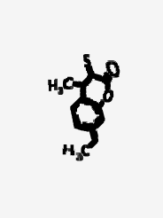 CCc1ccc2c(c1)OC(=O)C(=S)C2C